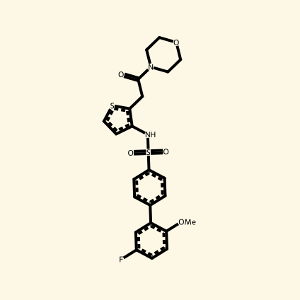 COc1ccc(F)cc1-c1ccc(S(=O)(=O)Nc2ccsc2CC(=O)N2CCOCC2)cc1